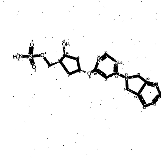 NS(=O)(=O)OC[C@@H]1C[C@@H](Oc2cc(N3Cc4ccccc4C3)ncn2)C[C@@H]1O